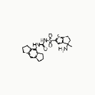 CC1(N)CCc2sc(S(=O)(=O)NC(=O)Nc3c4c(cc5c3CCC5)CCC4)cc21